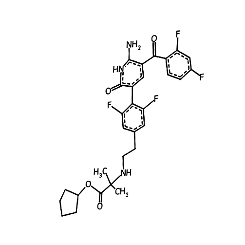 CC(C)(NCCc1cc(F)c(-c2cc(C(=O)c3ccc(F)cc3F)c(N)[nH]c2=O)c(F)c1)C(=O)OC1CCCC1